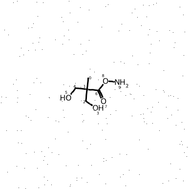 CC(CO)(CO)C(=O)ON